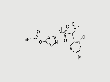 C=CC(c1ccc(F)cc1Cl)S(=O)(=O)Nc1ncc(OC(=O)CCC)s1